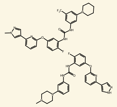 CN1CCN(c2cccc(NC(=O)Nc3cc(Oc4cccc(-c5cn[nH]c5)n4)ccc3F)c2)CC1.Cn1cc(-c2cccc(Oc3ccc(F)c(NC(=O)Nc4cc(N5CCCCC5)cc(C(F)(F)F)c4)c3)n2)cn1